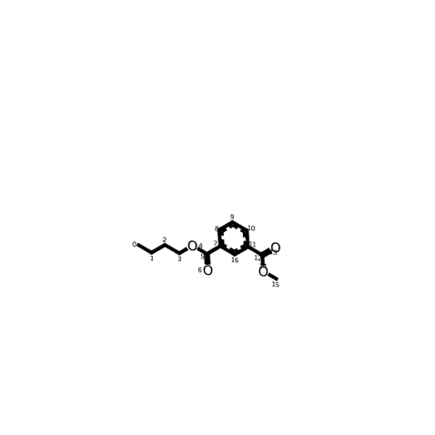 CCCCOC(=O)c1cccc(C(=O)OC)c1